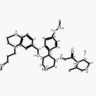 COCCCN1CCOc2ccc(CO[C@H]3CNC[C@@H](OCC(=O)N4C(C)COC[C@H]4C)C3c3ccc(COC)cc3)cc21